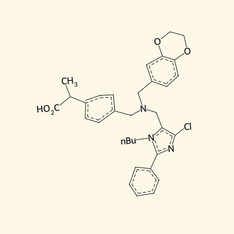 CCCCn1c(-c2ccccc2)nc(Cl)c1CN(Cc1ccc(C(C)C(=O)O)cc1)Cc1ccc2c(c1)OCCO2